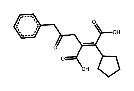 O=C(CC(C(=O)O)=C(C(=O)O)C1CCCC1)Cc1ccccc1